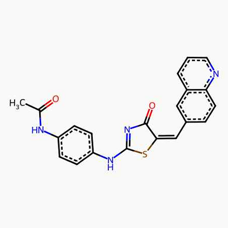 CC(=O)Nc1ccc(NC2=NC(=O)C(=Cc3ccc4ncccc4c3)S2)cc1